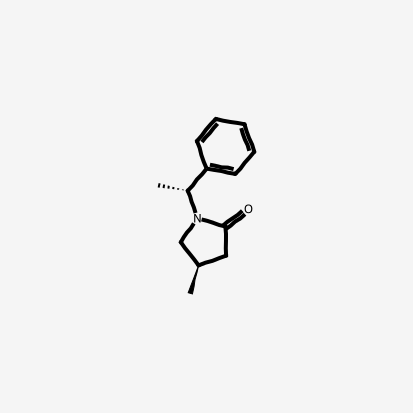 C[C@@H]1CC(=O)N([C@H](C)c2ccccc2)C1